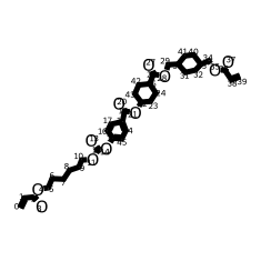 C=CC(=O)OCCCCCCOC(=O)Oc1ccc(C(=O)OC2CCC(C(=O)OCC3CCC(COC(=O)C=C)CC3)CC2)cc1